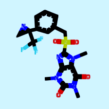 Cn1c(=O)c2c(nc(S(=O)(=O)Cc3cccc(C4(C(F)(F)F)C=N4)c3)n2C)n(C)c1=O